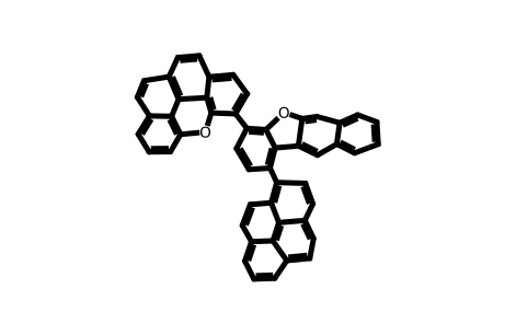 c1ccc2cc3c(cc2c1)oc1c(-c2ccc4ccc5ccc6cccc7c6c5c4c2O7)ccc(-c2ccc4ccc5cccc6ccc2c4c56)c13